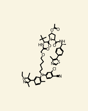 CCn1nc(C)c(-c2ccc(C)c(N(CCCCCOCC(=O)N[C@H](C(=O)N3C[C@H](OC(C)=O)C[C@H]3C(=O)N[C@@H](C)c3ccc(-c4scnc4C)cc3)C(C)(C)C)c3ccc(C#N)c(Cl)c3)c2)c1C